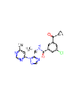 C[C@H](NC(=O)c1cc(Cl)cc(C(=O)C2CC2)c1)c1ncnn1-c1cc(C#N)ncn1